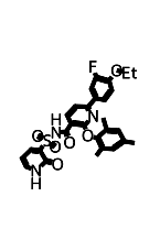 CCOc1ccc(-c2ccc(C(=O)NS(=O)(=O)c3ccc[nH]c3=O)c(Oc3c(C)cc(C)cc3C)n2)cc1F